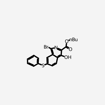 CCCCOC(=O)c1nc(Br)c2cc(Sc3ccccc3)ccc2c1O